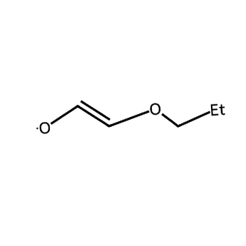 CCCOC=C[O]